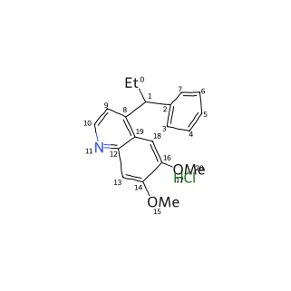 CCC(c1ccccc1)c1ccnc2cc(OC)c(OC)cc12.Cl